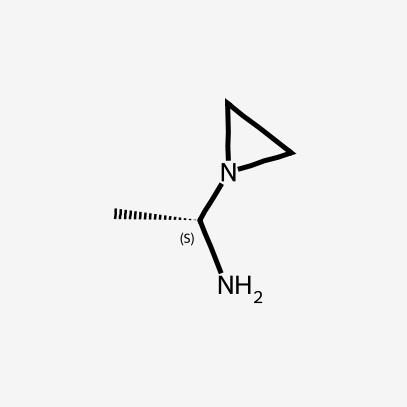 C[C@@H](N)N1CC1